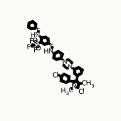 Cc1c(-c2cccc(N3CCN(c4ccc(NSc5ccc(NSc6ccccc6)c(S(=O)(=O)C(F)(F)F)c5)cc4)CC3)c2)c(-c2ccc(Cl)cc2)n(C)c1Cl